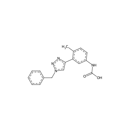 Cc1ccc(NC(=O)O)cc1-c1cn(Cc2ccccc2)nn1